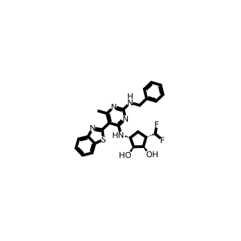 Cc1nc(NCc2ccccc2)nc(N[C@@H]2C[C@H](C(F)F)[C@@H](O)[C@H]2O)c1-c1nc2ccccc2s1